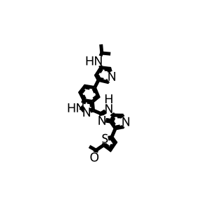 CC(=O)c1ccc(-c2cncc3[nH]c(-c4n[nH]c5ccc(-c6cncc(NC(C)C)c6)cc45)nc23)s1